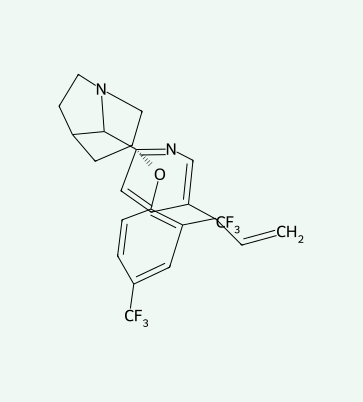 C=CCc1cc(C(F)(F)F)ccc1O[C@@H]1CC2CCN(C1)C2c1ccc(C(F)(F)F)cn1